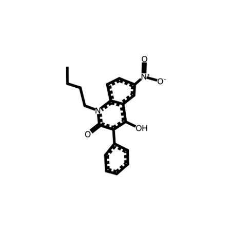 CCCCn1c(=O)c(-c2ccccc2)c(O)c2cc([N+](=O)[O-])ccc21